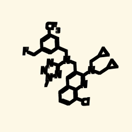 Cn1nnc(N(Cc2cc(CF)cc(C(F)(F)F)c2)Cc2cc3cccc(Cl)c3nc2N(CC2CC2)CC2CC2)n1